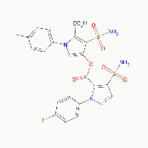 Cc1ccc(-n2cc(OC(=O)c3c(S(N)(=O)=O)ccn3-c3ccc(F)cc3)c(S(N)(=O)=O)c2C(=O)O)cc1